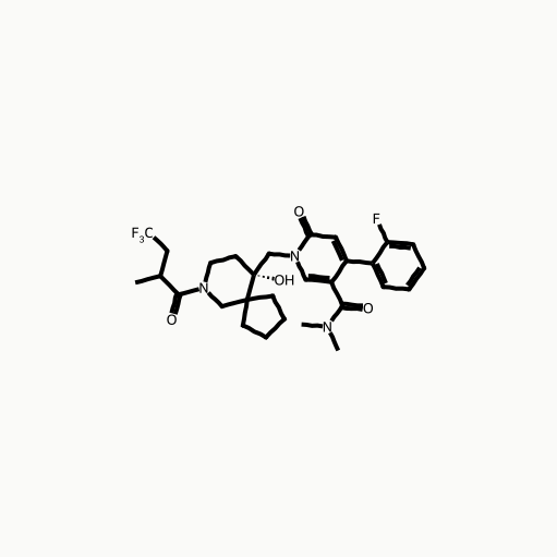 CC(CC(F)(F)F)C(=O)N1CC[C@@](O)(Cn2cc(C(=O)N(C)C)c(-c3ccccc3F)cc2=O)C2(CCCC2)C1